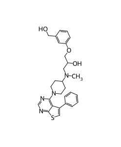 CN(CC(O)COc1cccc(CO)c1)C1CCN(c2ncnc3scc(-c4ccccc4)c23)CC1